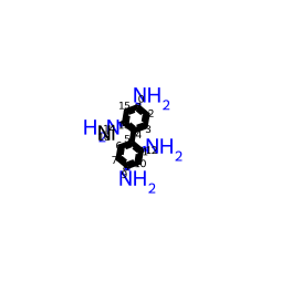 Nc1ccc(-c2ccc(N)cc2N)c(N)c1.[Ni]